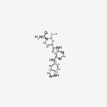 CCC1CC(c2cc3c(Nc4ccc5[nH]ncc5c4)ncnc3[nH]2)=CCN1C(N)=O